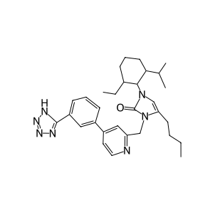 CCCCc1cn(C2C(CC)CCCC2C(C)C)c(=O)n1Cc1cc(-c2cccc(-c3nnn[nH]3)c2)ccn1